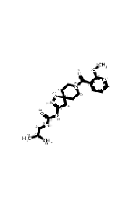 CSc1ncccc1C(=O)N1CCC2(CC1)CC(OC(=O)NCC(C)C)=NO2